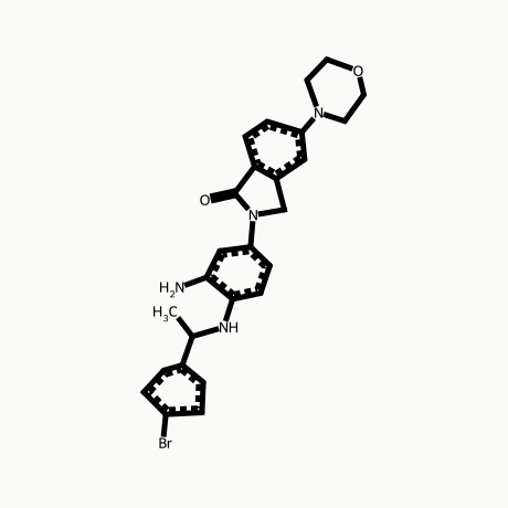 CC(Nc1ccc(N2Cc3cc(N4CCOCC4)ccc3C2=O)cc1N)c1ccc(Br)cc1